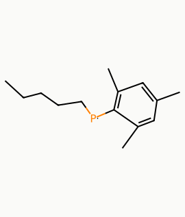 CCCCC[P]c1c(C)cc(C)cc1C